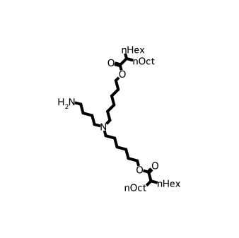 CCCCCCCCC(CCCCCC)C(=O)OCCCCCCN(CCCCN)CCCCCCOC(=O)C(CCCCCC)CCCCCCCC